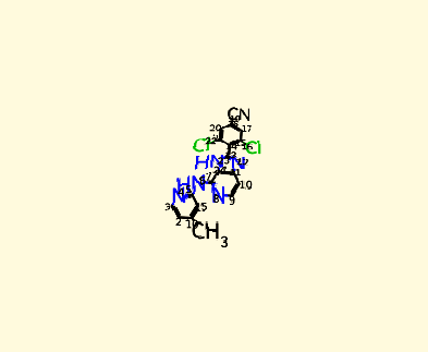 Cc1ccnc(Nc2nccc3nc(-c4c(Cl)cc(C#N)cc4Cl)[nH]c23)c1